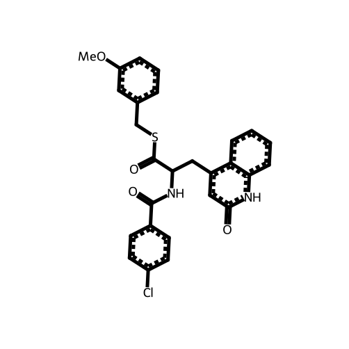 COc1cccc(CSC(=O)C(Cc2cc(=O)[nH]c3ccccc23)NC(=O)c2ccc(Cl)cc2)c1